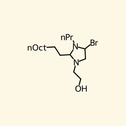 CCCCCCCCCCC1N(CCO)CC(Br)N1CCC